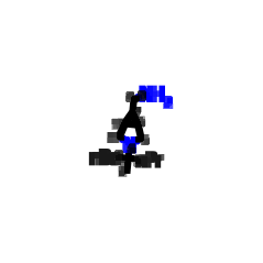 CCCCC(C)(CCC)N1CC2C(CN)C2C1